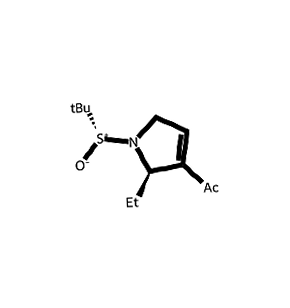 CC[C@@H]1C(C(C)=O)=CCN1[S@+]([O-])C(C)(C)C